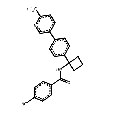 N#Cc1ccc(C(=O)NC2(c3ccc(-c4ccc(C(=O)O)nc4)cc3)CCC2)cc1